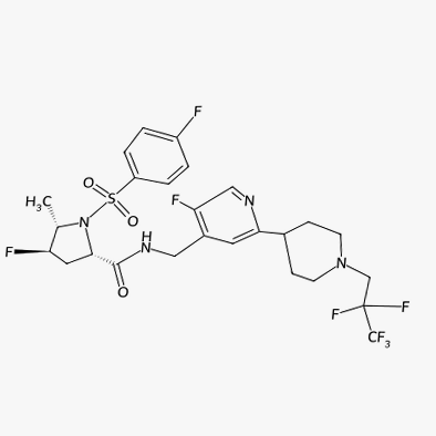 C[C@H]1[C@H](F)C[C@@H](C(=O)NCc2cc(C3CCN(CC(F)(F)C(F)(F)F)CC3)ncc2F)N1S(=O)(=O)c1ccc(F)cc1